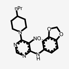 CCCC1CCN(c2ncnc(Nc3ccc4c(c3)OCO4)c2[N+](=O)[O-])CC1